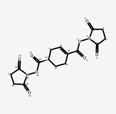 O=C(ON1C(=O)CCC1=O)C1=CC[C@H](C(=O)ON2C(=O)CCC2=O)CC1